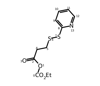 CCOC(=O)OC(=O)CCSSc1ccccn1